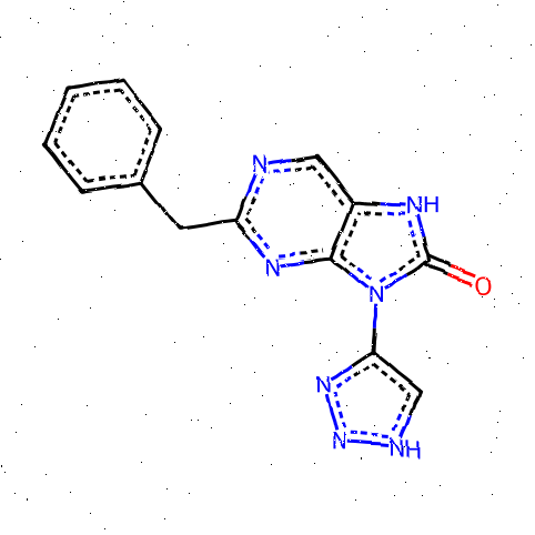 O=c1[nH]c2cnc(Cc3ccccc3)nc2n1-c1c[nH]nn1